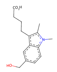 Cc1c(CCCC(=O)O)c2cc(CO)ccc2n1C